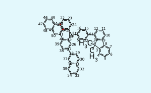 CC1(C)c2ccccc2-c2cccc(-c3ccc(N(c4ccccc4)c4cc(-c5ccc6ccccc6c5)ccc4-c4ccc5ccccc5c4)cc3)c21